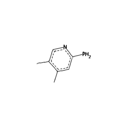 Cc1cnc(P)cc1C